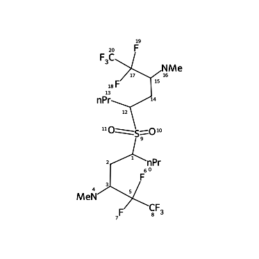 CCCC(CC(NC)C(F)(F)C(F)(F)F)S(=O)(=O)C(CCC)CC(NC)C(F)(F)C(F)(F)F